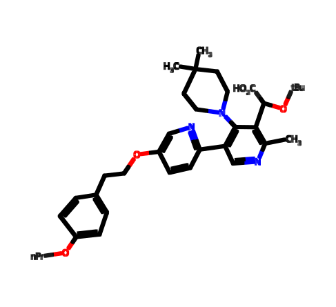 CCCOc1ccc(CCOc2ccc(-c3cnc(C)c(C(OC(C)(C)C)C(=O)O)c3N3CCC(C)(C)CC3)nc2)cc1